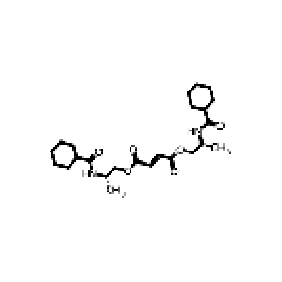 C[C@@H](COC(=O)/C=C/C(=O)OC[C@H](C)NC(=O)C1CCCCC1)NC(=O)C1CCCCC1